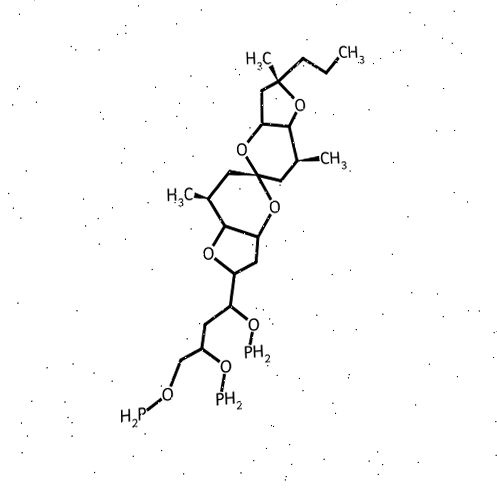 CCC[C@@]1(C)CC2O[C@]3(C[C@H](C)C4OC(C(CC(COP)OP)OP)CC4O3)C[C@H](C)C2O1